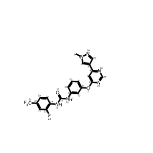 Cn1cc(-c2cc(Oc3cccc(NC(=O)Nc4ccc(C(F)(F)F)cc4F)c3)ncn2)cn1